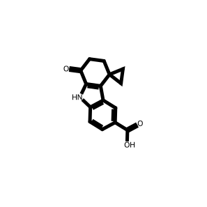 O=C(O)c1ccc2[nH]c3c(c2c1)C1(CCC3=O)CC1